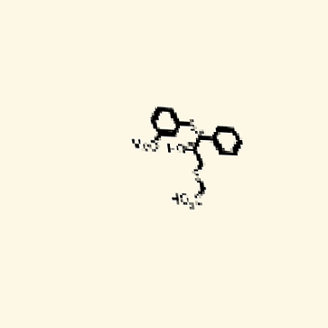 COc1cccc(S[C@H](c2ccccc2)[C@H](O)CSCC(=O)O)c1